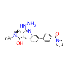 CCCN(CCC)C(O)C1=Cc2ccc(-c3ccc(C(=O)N4CCCC4)cc3)cc2N=C(NN)C1